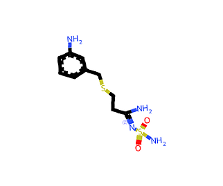 N/C(CCSCc1cccc(N)c1)=N\S(N)(=O)=O